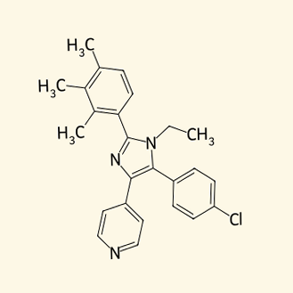 CCn1c(-c2ccc(C)c(C)c2C)nc(-c2ccncc2)c1-c1ccc(Cl)cc1